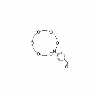 O=Cc1ccc(N2COCCOCCOCCOCCOCCO2)cc1